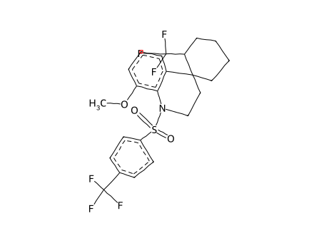 COc1cccc2c1N(S(=O)(=O)c1ccc(C(F)(F)F)cc1)CCC21CCCCC1C(F)(F)F